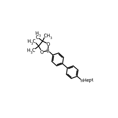 CCCCCCCc1ccc(-c2ccc(B3OC(C)(C)C(C)(C)O3)cc2)cc1